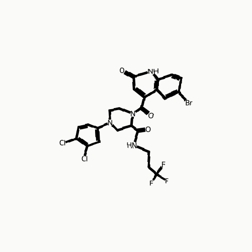 O=C(NCCC(F)(F)F)C1CN(c2ccc(Cl)c(Cl)c2)CCN1C(=O)c1cc(=O)[nH]c2ccc(Br)cc12